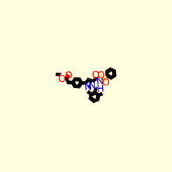 CCOC(=O)Cc1ccc(-c2cc(C(=O)NS(=O)(=O)c3ccccc3)n(Cc3c(C)cccc3C)n2)cc1